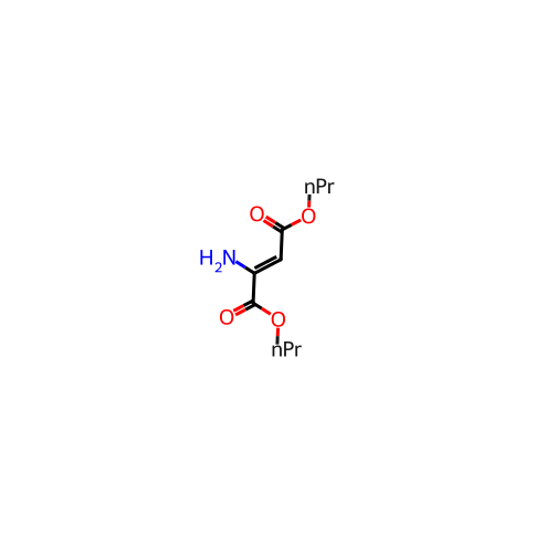 CCCOC(=O)C=C(N)C(=O)OCCC